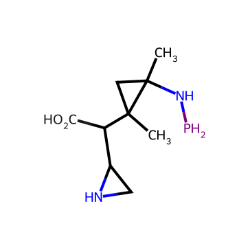 CC1(NP)CC1(C)C(C(=O)O)C1CN1